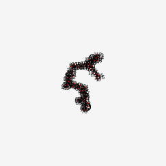 c1ccc(-c2ccc(-c3ccc(N(c4ccc(-c5ccc(-c6cccc(-c7ccc8c(ccc9c%10cc(N(c%11ccccc%11)c%11ccc(-c%12ccc(-c%13cccc%14c%13ccc%13c%15cc(N(c%16ccccc%16)c%16ccc%17oc%18ccccc%18c%17c%16)ccc%15sc%14%13)cc%12)cc%11)ccc%10sc89)c7)c6)cc5)cc4)c4ccc5oc6c7ccccc7ccc6c5c4)cc3)cc2)cc1